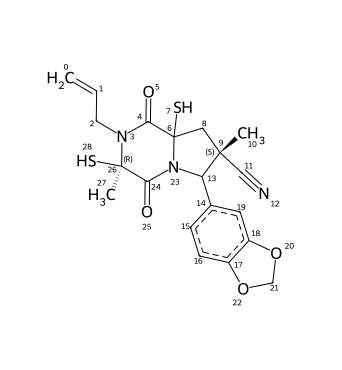 C=CCN1C(=O)C2(S)C[C@](C)(C#N)C(c3ccc4c(c3)OCO4)N2C(=O)[C@@]1(C)S